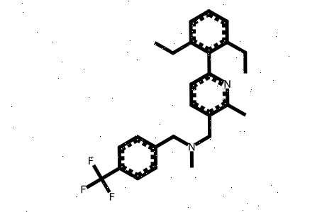 CCc1cccc(CC)c1-c1ccc(CN(C)Cc2ccc(C(F)(F)F)cc2)c(C)n1